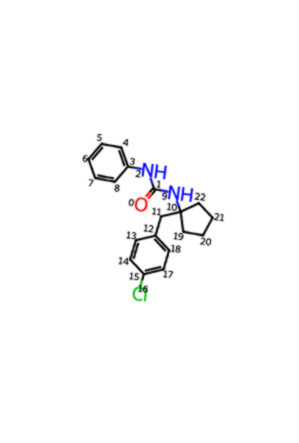 O=C(Nc1ccccc1)NC1(Cc2ccc(Cl)cc2)CCCC1